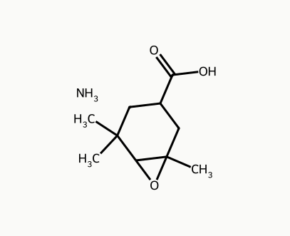 CC1(C)CC(C(=O)O)CC2(C)OC12.N